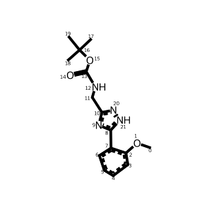 COc1ccccc1-c1nc(CNC(=O)OC(C)(C)C)n[nH]1